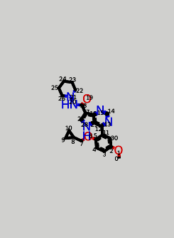 COc1ccc(OCC2CC2)c(-c2ncnc3c(C(=O)NN4CCCCC4)c[nH]c23)c1